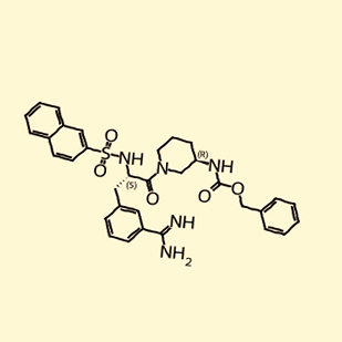 N=C(N)c1cccc(C[C@H](NS(=O)(=O)c2ccc3ccccc3c2)C(=O)N2CCC[C@@H](NC(=O)OCc3ccccc3)C2)c1